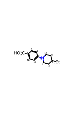 CCC1CCN(c2ccc(C(=O)O)cc2)CC1